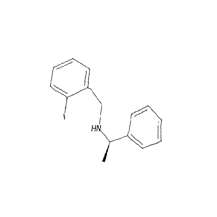 C[C@@H](NCc1ccccc1I)c1ccccc1